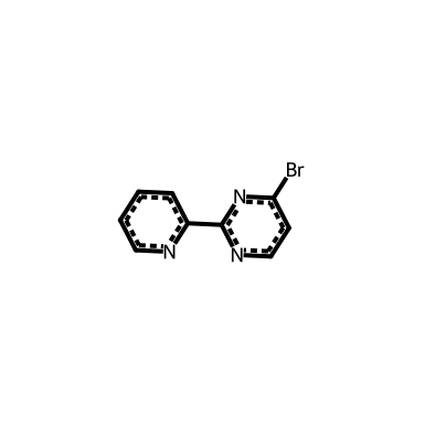 Brc1ccnc(-c2ccccn2)n1